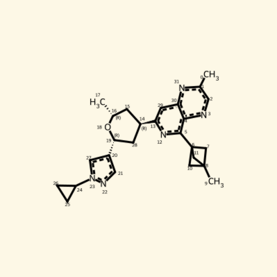 Cc1cnc2c(C34CC(C)(C3)C4)nc([C@@H]3C[C@@H](C)O[C@@H](c4cnn(C5CC5)c4)C3)cc2n1